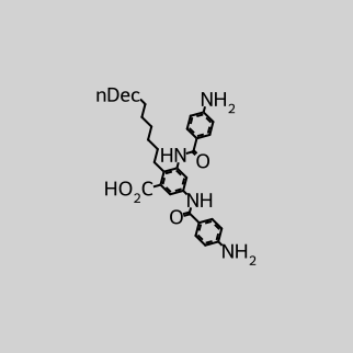 CCCCCCCCCCCCCCCCc1c(NC(=O)c2ccc(N)cc2)cc(NC(=O)c2ccc(N)cc2)cc1C(=O)O